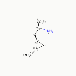 CCOC(=O)[C@H]1C[C@@H]1C[C@H](N)C(=O)OCC